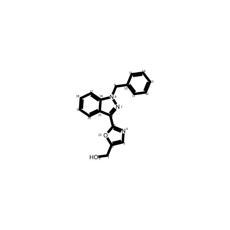 OCc1cnc(-c2nn(Cc3ccccc3)c3ccccc23)o1